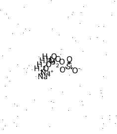 O.O.O.O.O.O.O=[Si]([O-])[O-].[Na+].[Na+]